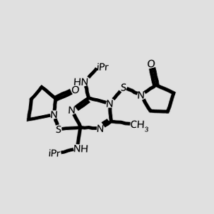 CC1=NC(NC(C)C)(SN2CCCC2=O)N=C(NC(C)C)N1SN1CCCC1=O